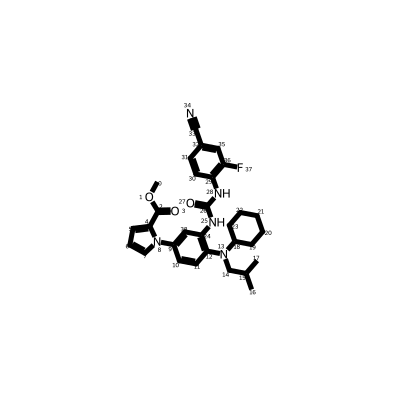 COC(=O)c1cccn1-c1ccc(N(CC(C)C)C2CCCCC2)c(NC(=O)Nc2ccc(C#N)cc2F)c1